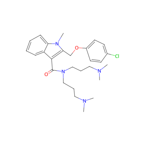 CN(C)CCCN(CCCN(C)C)C(=O)c1c(COc2ccc(Cl)cc2)n(C)c2ccccc12